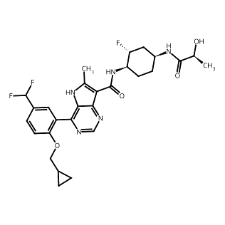 Cc1[nH]c2c(-c3cc(C(F)F)ccc3OCC3CC3)ncnc2c1C(=O)N[C@@H]1CC[C@H](NC(=O)[C@H](C)O)C[C@H]1F